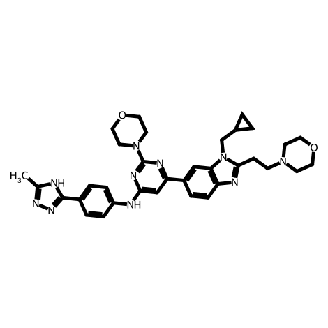 Cc1nnc(-c2ccc(Nc3cc(-c4ccc5nc(CCN6CCOCC6)n(CC6CC6)c5c4)nc(N4CCOCC4)n3)cc2)[nH]1